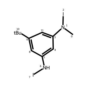 CN(I)c1cc(NI)cc(C(C)(C)C)c1